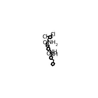 NC(Cc1ccc(Cl)cc1Cl)C(=O)N1Cc2ccc(NC(=O)Nc3cccc(Cc4ccccc4)c3)cc2C1